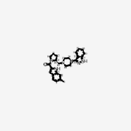 Cc1ccc2cc(C(=O)N3CCC[C@H]3CN3CCN(c4n[nH]c5ccccc45)CC3)[nH]c2c1